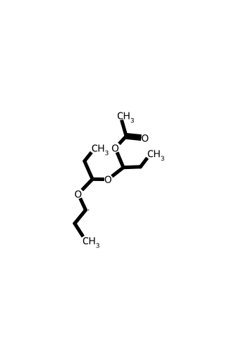 CC[CH]OC(CC)OC(CC)OC(C)=O